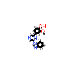 COc1cc(-c2cncc(-n3cnc4ccccc43)n2)ccc1O